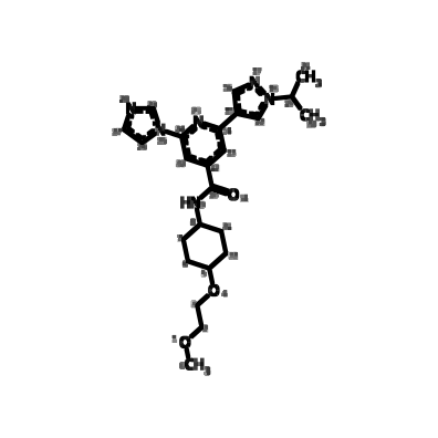 COCCOC1CCC(NC(=O)c2cc(-c3cnn(C(C)C)c3)nc(-n3ccnc3)c2)CC1